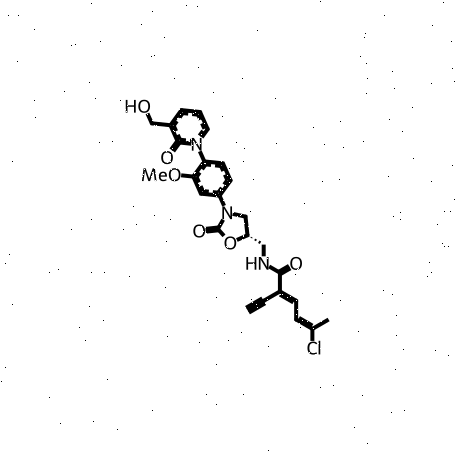 C#C/C(=C\C=C(/C)Cl)C(=O)NC[C@H]1CN(c2ccc(-n3cccc(CO)c3=O)c(OC)c2)C(=O)O1